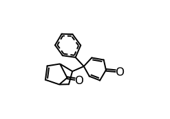 O=C1C=CC(c2ccccc2)(C2CC3C=CC2C3=O)C=C1